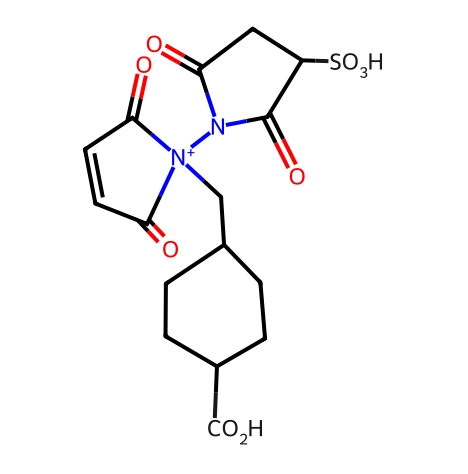 O=C(O)C1CCC(C[N+]2(N3C(=O)CC(S(=O)(=O)O)C3=O)C(=O)C=CC2=O)CC1